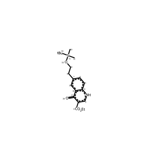 CCOC(=O)c1c[nH]c2ccc(CCO[Si](C)(C)C(C)(C)C)cc2c1=O